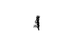 CCCCOCC1(O)CC2CN(c3ccc(OC(F)(F)F)cc3)C(=O)C2C1